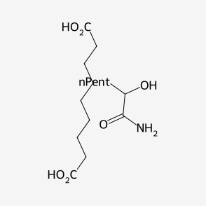 CCCCCC(O)C(N)=O.O=C(O)CCCCCCCC(=O)O